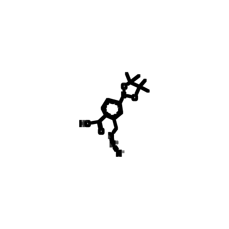 CC1(C)OB(c2ccc(C(=O)O)c(CN=[N+]=[N-])c2)OC1(C)C